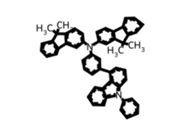 CC1(C)c2ccccc2-c2cc(N(c3cccc(-c4cccc5c4c4ccccc4n5-c4ccccc4)c3)c3ccc4c(c3)C(C)(C)c3ccccc3-4)ccc21